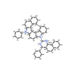 c1ccc(-c2nc(-n3c4cccc5c4c4c6c7c8c-5cccc8ccc7n(-c5ccccc5)c6ccc43)nc3c2ccc2ccccc23)cc1